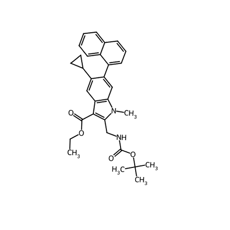 CCOC(=O)c1c(CNC(=O)OC(C)(C)C)n(C)c2cc(-c3cccc4ccccc34)c(C3CC3)cc12